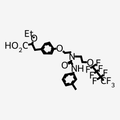 CCOC(Cc1ccc(OCCN(CCOC(F)(F)C(F)(F)C(F)(F)C(F)(F)F)C(=O)Nc2cccc(C)c2)cc1)C(=O)O